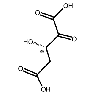 O=C(O)C[C@H](O)C(=O)C(=O)O